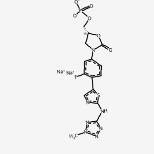 Cn1nnc(Nc2ncc(-c3ccc(N4C[C@H](COP(=O)([O-])[O-])OC4=O)cc3F)s2)n1.[Na+].[Na+]